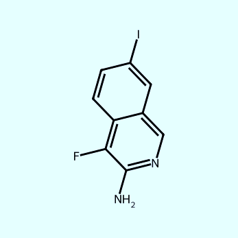 Nc1ncc2cc(I)ccc2c1F